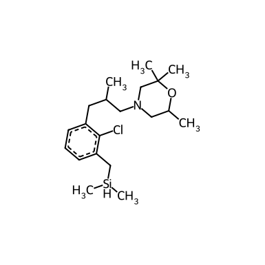 CC(Cc1cccc(C[SiH](C)C)c1Cl)CN1CC(C)OC(C)(C)C1